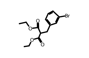 CCOC(=O)C(Cc1cccc(Br)c1)C(=O)OCC